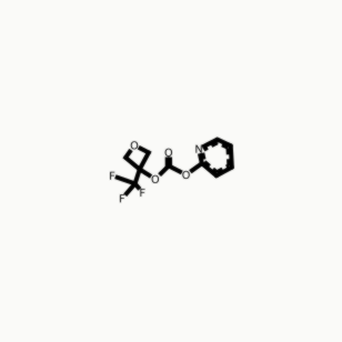 O=C(Oc1ccccn1)OC1(C(F)(F)F)COC1